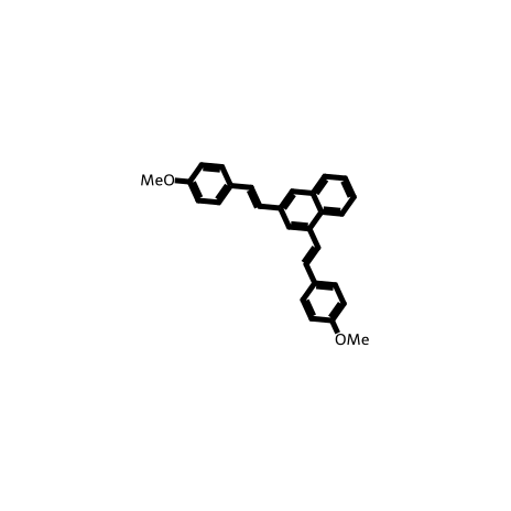 COc1ccc(C=Cc2cc(C=Cc3ccc(OC)cc3)c3ccccc3c2)cc1